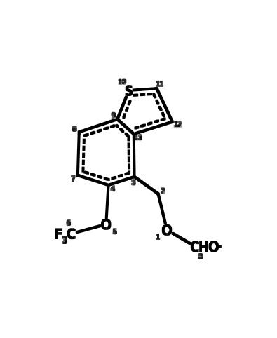 O=[C]OCc1c(OC(F)(F)F)ccc2sccc12